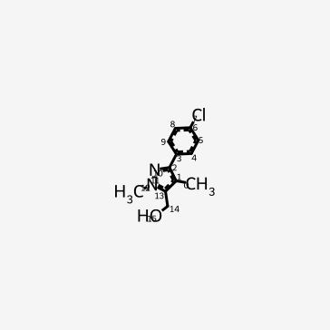 Cc1c(-c2ccc(Cl)cc2)nn(C)c1CO